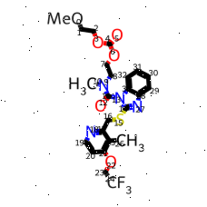 COCCOC(=O)OCCN(C)C(=O)n1c(SCc2nccc(OCC(F)(F)F)c2C)nc2ccccc21